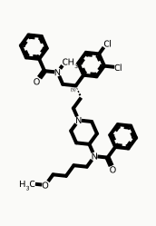 COCCCCN(C(=O)c1ccccc1)C1CCN(CC[C@H](CN(C)C(=O)c2ccccc2)c2ccc(Cl)c(Cl)c2)CC1